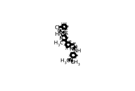 Cc1nc(NS(=O)(=O)c2ccccc2Cl)c(F)cc1-c1ccc2nc(NC3CCC(N(C)C)CC3)ncc2c1